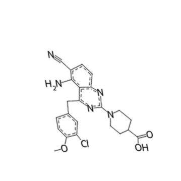 COc1ccc(Cc2nc(N3CCC(C(=O)O)CC3)nc3ccc(C#N)c(N)c23)cc1Cl